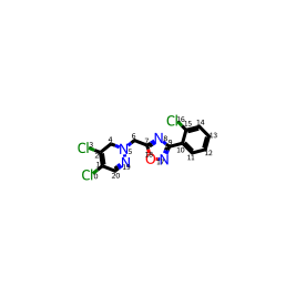 ClC1=C(Cl)CN(Cc2nc(-c3ccccc3Cl)no2)N=C1